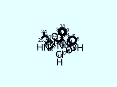 COC[C@]1(O)CCCC[C@H]1n1cnc(C(=O)N2CCNC[C@H]2CC(C)C)c1-c1ccccc1.Cl